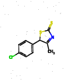 CC1=NC(=S)SC1c1ccc(Cl)cc1